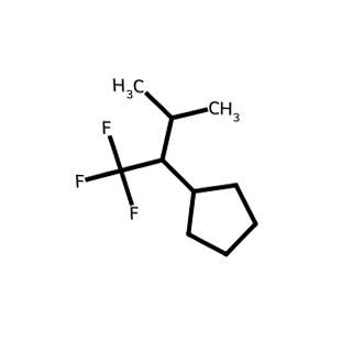 CC(C)C(C1CCCC1)C(F)(F)F